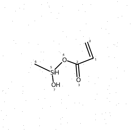 C=CC(=O)O[SiH](C)O